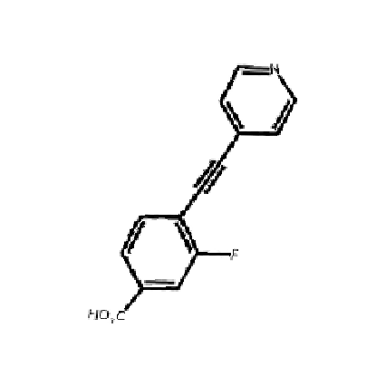 O=C(O)c1ccc(C#Cc2ccncc2)c(F)c1